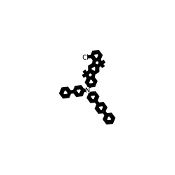 CC1(C)c2cc(N(c3ccc(-c4ccccc4)cc3)c3ccc(-c4ccc(-c5ccccc5)cc4)cc3)ccc2-c2cc3c(cc21)-c1c(Cl)cccc1C3(C)C